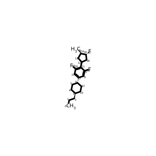 CCC[C@H]1CC[C@H](c2cc(F)c(C3C[C@@H](C)[C@H](F)C3)c(F)c2)CC1